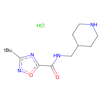 CC(C)(C)c1noc(C(=O)NCC2CCNCC2)n1.Cl